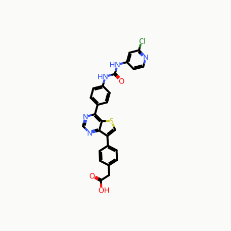 O=C(O)Cc1ccc(-c2csc3c(-c4ccc(NC(=O)Nc5ccnc(Cl)c5)cc4)ncnc23)cc1